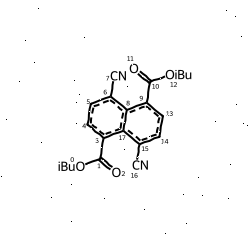 CC(C)COC(=O)c1ccc(C#N)c2c(C(=O)OCC(C)C)ccc(C#N)c12